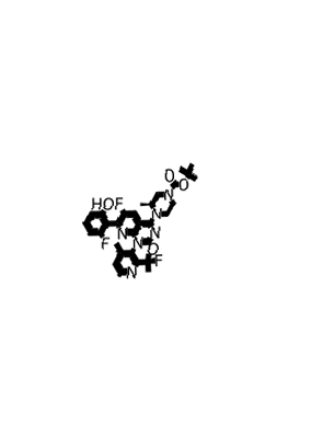 Cc1ccnc(C(C)(C)F)c1-n1c(=O)nc(N2CCN(C(=O)OC(C)(C)C)C[C@@H]2C)c2cc(F)c(-c3c(O)cccc3F)nc21